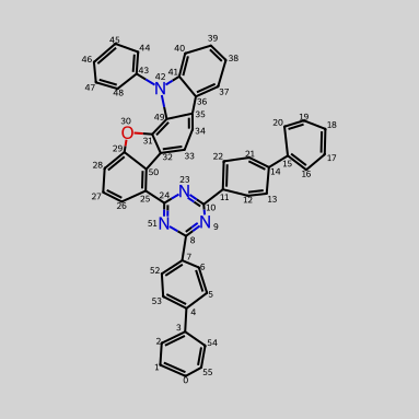 c1ccc(-c2ccc(-c3nc(-c4ccc(-c5ccccc5)cc4)nc(-c4cccc5oc6c(ccc7c8ccccc8n(-c8ccccc8)c76)c45)n3)cc2)cc1